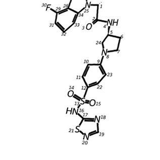 C[C@H](C(=O)N[C@H]1CCN(c2ccc(S(=O)(=O)Nc3ncns3)cc2)C1)n1ccc2c(F)cccc21